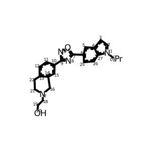 CC(C)n1ccc2cc(-c3nc(-c4ccc5c(c4)CN(CCO)CC5)no3)ccc21